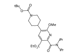 CCOC(=O)c1cc(C2CCN(C(=O)OC(C)(C)C)CC2)c(OC)nc1C(=O)N(C(C)C)C(C)C